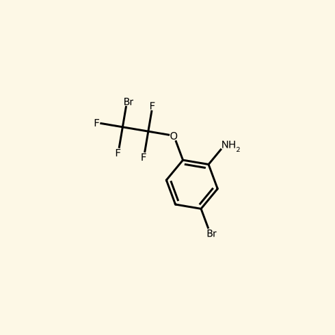 Nc1cc(Br)ccc1OC(F)(F)C(F)(F)Br